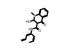 C=C/C=C(\C=C/C)NC(=O)C1C(=O)c2ccccc2N(C)C1O